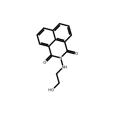 O=C1c2cccc3cccc(c23)C(=O)N1NCCO